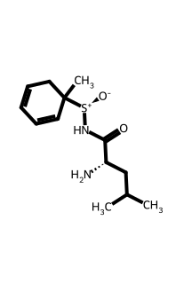 CC(C)C[C@H](N)C(=O)N[S@+]([O-])C1(C)C=CC=CC1